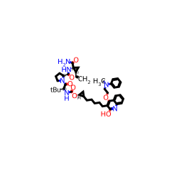 C=C[C@@H]1C[C@]1(NC(=O)[C@@H]1CCCN1C(=O)[C@@H](NC(=O)O[C@@H]1CC1CCCCCc1c(O)nc2ccccc2c1OCCN(C)c1ccccc1)C(C)(C)C)C(N)=O